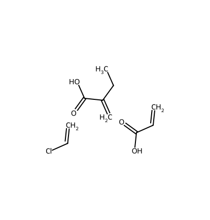 C=C(CC)C(=O)O.C=CC(=O)O.C=CCl